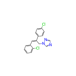 Clc1ccc(C(=Cc2ccccc2Cl)Cn2cncn2)cc1